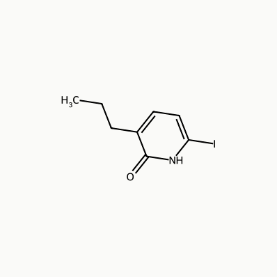 CCCc1ccc(I)[nH]c1=O